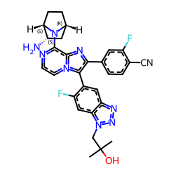 CC(C)(O)Cn1nnc2cc(-c3c(-c4ccc(C#N)c(F)c4)nc4c(N5[C@@H]6CC[C@H]5[C@@H](N)C6)nccn34)c(F)cc21